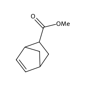 [CH2]OC(=O)C1CC2C=CC1C2